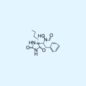 CCCC[C@@]1(C(Cc2ccccc2)N(O)C=O)NC(=O)NC1=O